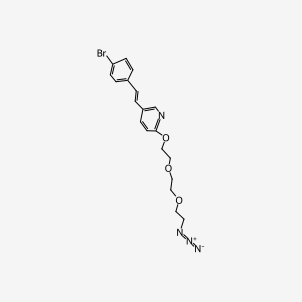 [N-]=[N+]=NCCOCCOCCOc1ccc(/C=C/c2ccc(Br)cc2)cn1